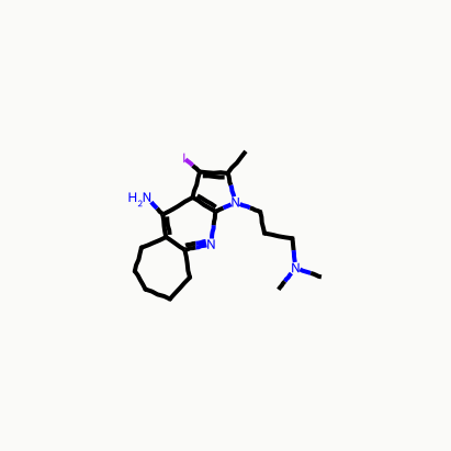 Cc1c(I)c2c(N)c3c(nc2n1CCCN(C)C)CCCCC3